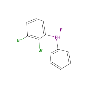 Brc1cccc(Pc2ccccc2)c1Br.[P]